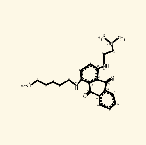 CC(=O)NCCCCCNc1ccc(NCCN(C)C)c2c1C(=O)c1ccccc1C2=O